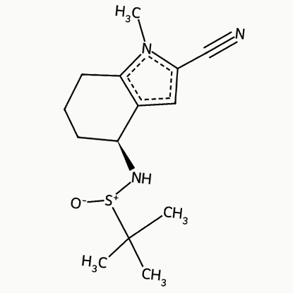 Cn1c(C#N)cc2c1CCC[C@@H]2N[S+]([O-])C(C)(C)C